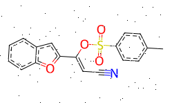 Cc1ccc(S(=O)(=O)OC(=CC#N)c2cc3ccccc3o2)cc1